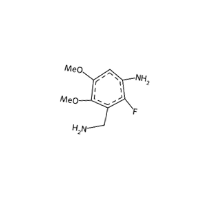 COc1cc(N)c(F)c(CN)c1OC